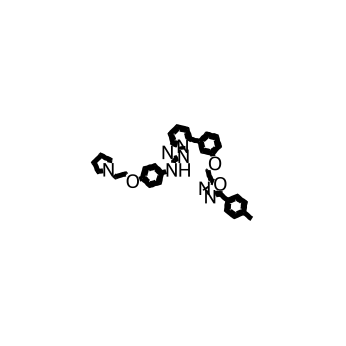 Cc1ccc(-c2nnc(COc3cccc(-c4cccc5nc(Nc6ccc(OCCN7CCCC7)cc6)nn45)c3)o2)cc1